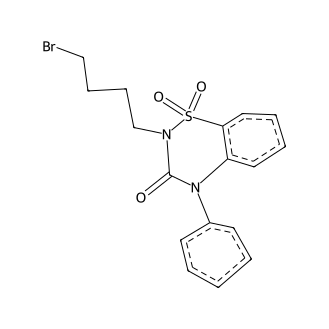 O=C1N(c2ccccc2)c2ccccc2S(=O)(=O)N1CCCCBr